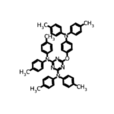 Cc1ccc(N(c2ccc(C)cc2)c2ccc(Oc3nc(N(c4ccc(C)cc4)c4ccc(C)cc4)nc(N(c4ccc(C)cc4)c4ccc(C)cc4)n3)cc2)cc1